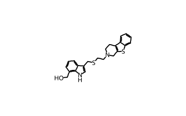 OCc1cccc2c(CSCCN3CCc4c(sc5ccccc45)C3)c[nH]c12